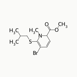 COC(=O)C1C=CC(Br)=C(SCC(C)C)N1C